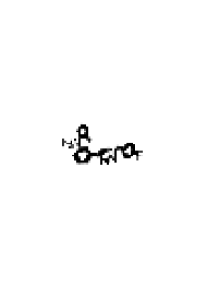 CC1[CH]CCC1Nc1cccc(-c2cn(Cc3ccc(F)cc3)nn2)c1